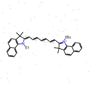 CCN1\C(=C/C=C/C=C/C=C/C2=[N+](C(C)(C)C)c3c(ccc4ccccc34)C2(C)C)C(C)(C)c2ccc3ccccc3c21